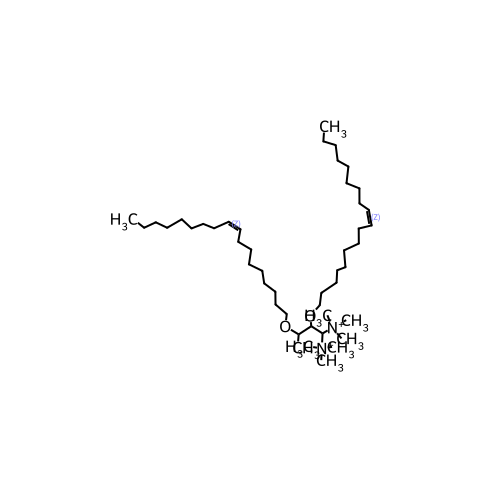 CCCCCCCC/C=C\CCCCCCCCOC(C)C(OCCCCCCCC/C=C\CCCCCCCC)C([N+](C)(C)C)[N+](C)(C)C